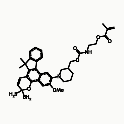 BC1(B)C=Cc2c3c(c4cc(N5CCCC(COC(=O)NCCOC(=O)C(=C)C)C5)c(OC)cc4c2O1)-c1ccccc1C3(C)C